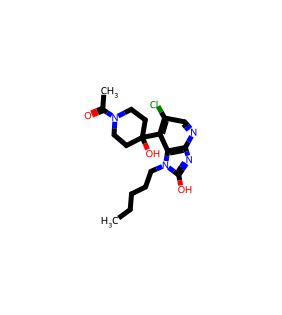 CCCCCn1c(O)nc2ncc(Cl)c(C3(O)CCN(C(C)=O)CC3)c21